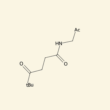 CC(=O)CNC(=O)CCC(=O)C(C)(C)C